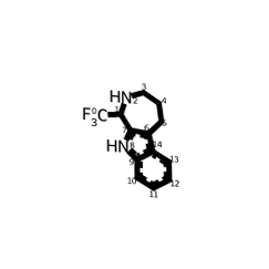 FC(F)(F)C1NCCCc2c1[nH]c1ccccc21